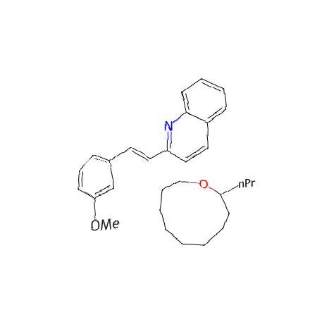 CCCC1CCCCCCCCO1.COc1cccc(C=Cc2ccc3ccccc3n2)c1